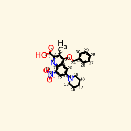 Cc1c(C(=O)O)nc2c([N+](=O)[O-])cc(N3CCCCC3)cc2c1OCc1ccccc1